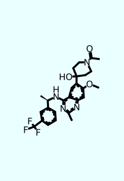 COc1cc2nc(C)nc(N[C@H](C)c3cccc(C(F)(F)F)c3)c2cc1C1(O)CCN(C(C)=O)CC1